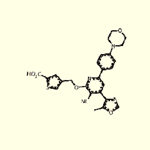 Cc1ocnc1-c1cc(-c2ccc(N3CCOCC3)cc2)nc(OCc2csc(C(=O)O)c2)c1C#N